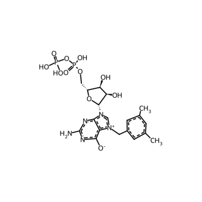 Cc1cc(C)cc(C[n+]2cn([C@@H]3O[C@H](COP(=O)(O)OP(=O)(O)O)[C@@H](O)[C@H]3O)c3nc(N)nc([O-])c32)c1